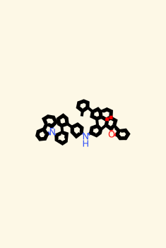 Cc1ccccc1-c1cc(-c2cc(Nc3ccc(-c4ccccc4-c4ccccc4-n4c5ccccc5c5ccccc54)cc3)ccc2-c2cccc3c2oc2ccccc23)c2ccccc2c1